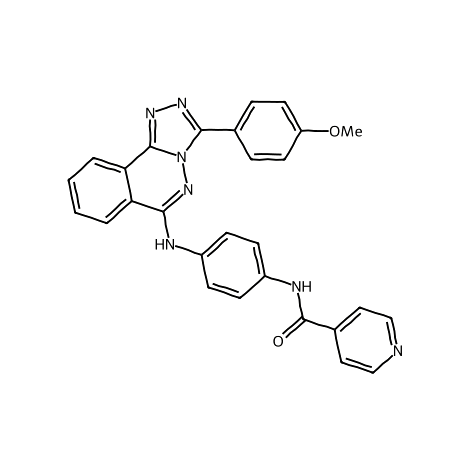 COc1ccc(-c2nnc3c4ccccc4c(Nc4ccc(NC(=O)c5ccncc5)cc4)nn23)cc1